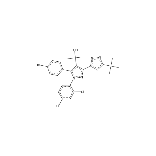 CC(C)(C)c1nnc(-c2nn(-c3ccc(Cl)cc3Cl)c(-c3ccc(Br)cc3)c2C(C)(C)O)s1